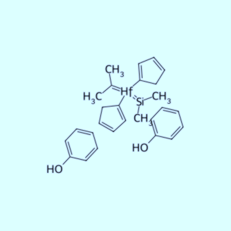 C[C](C)=[Hf]([C]1=CC=CC1)([C]1=CC=CC1)=[Si](C)C.Oc1ccccc1.Oc1ccccc1